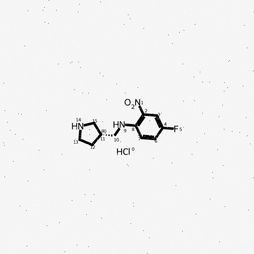 Cl.O=[N+]([O-])c1cc(F)ccc1NC[C@@H]1CCNC1